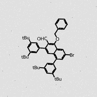 CC(C)(C)c1cc(-c2cc3c(-c4cc(C(C)(C)C)cc(C(C)(C)C)c4)cc(Br)cc3c(OCc3ccccc3)c2C=O)cc(C(C)(C)C)c1